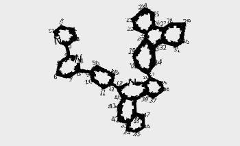 c1ccc(-c2cccc(-c3ccc(-c4nc5c(-c6ccc7c8ccccc8c8ccccc8c7c6)cccc5c5c4ccc4ccccc45)cc3)n2)nc1